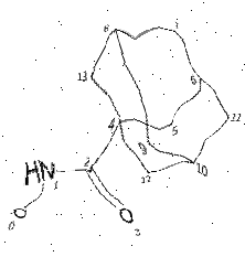 [O]NC(=O)C12CC3CC(CC(C3)C1)C2